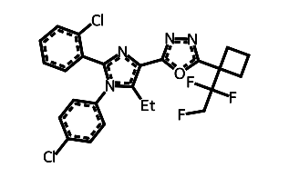 CCc1c(-c2nnc(C3(C(F)(F)CF)CCC3)o2)nc(-c2ccccc2Cl)n1-c1ccc(Cl)cc1